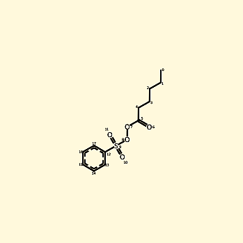 CCCCCC(=O)OOS(=O)(=O)c1ccccc1